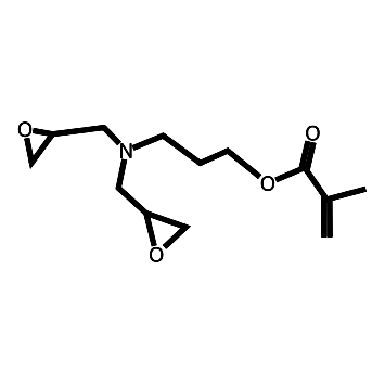 C=C(C)C(=O)OCCCN(CC1CO1)CC1CO1